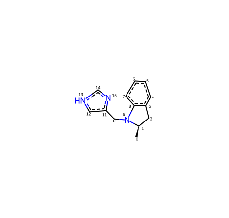 C[C@@H]1Cc2ccccc2N1Cc1c[nH]cn1